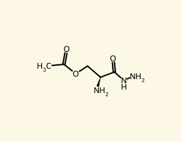 CC(=O)OC[C@H](N)C(=O)NN